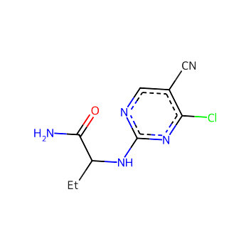 CCC(Nc1ncc(C#N)c(Cl)n1)C(N)=O